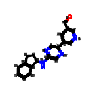 O=Cc1cncc(-c2cnc(NC3CCc4ccccc43)cn2)c1